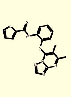 Cc1nc2ncnn2c(Sc2ccccc2NC(=O)c2cccs2)c1C